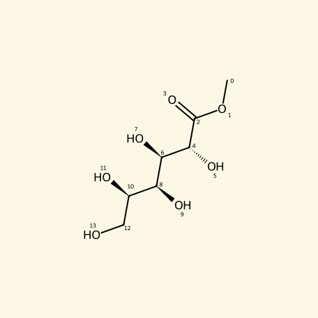 COC(=O)[C@H](O)[C@H](O)[C@@H](O)[C@H](O)CO